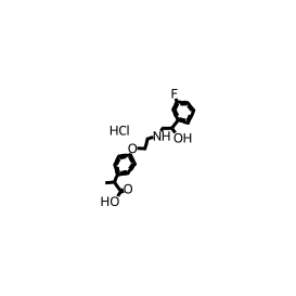 CC(C(=O)O)c1ccc(OCCNCC(O)c2cccc(F)c2)cc1.Cl